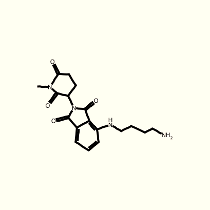 CN1C(=O)CCC(N2C(=O)c3cccc(NCCCCN)c3C2=O)C1=O